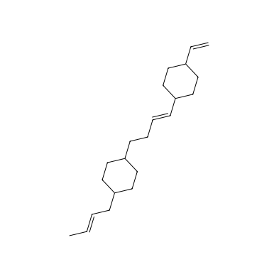 C=CC1CCC(C=CCCC2CCC(CC=CC)CC2)CC1